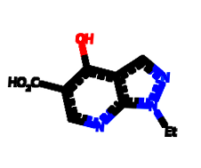 CCn1ncc2c(O)c(C(=O)O)cnc21